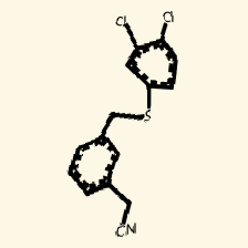 N#CCc1cccc(CSc2ccc(Cl)c(Cl)c2)c1